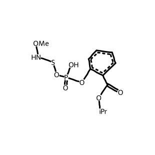 CONSOP(=O)(O)Oc1ccccc1C(=O)OC(C)C